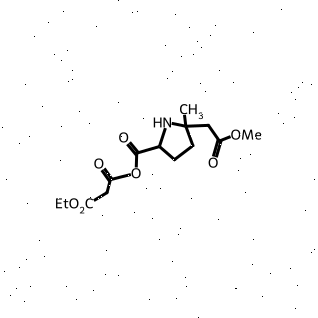 CCOC(=O)CC(=O)OC(=O)C1CCC(C)(CC(=O)OC)N1